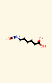 O=C=NCCCCCC(=O)O